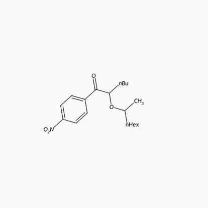 CCCCCCC(C)OC(CCCC)C(=O)c1ccc([N+](=O)[O-])cc1